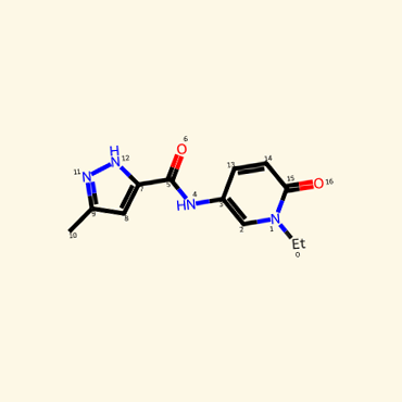 CCn1cc(NC(=O)c2cc(C)n[nH]2)ccc1=O